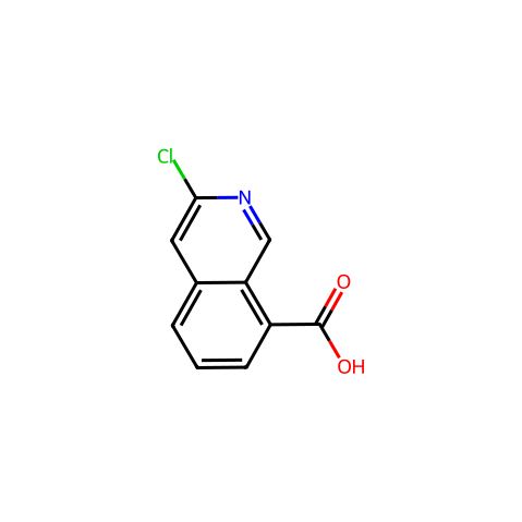 O=C(O)c1cccc2cc(Cl)ncc12